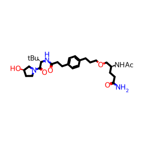 CC(=O)N[C@@H](CCC(N)=O)COCCCc1ccc(CCC(=O)N[C@H](C(=O)N2CC[C@@H](O)C2)C(C)(C)C)cc1